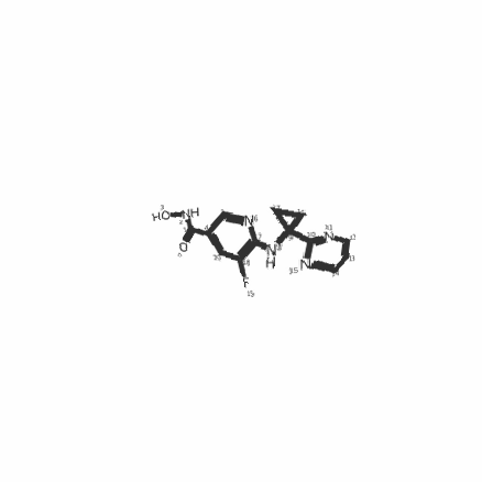 O=C(NO)c1cnc(NC2(c3ncccn3)CC2)c(F)c1